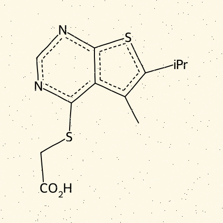 Cc1c(C(C)C)sc2ncnc(SCC(=O)O)c12